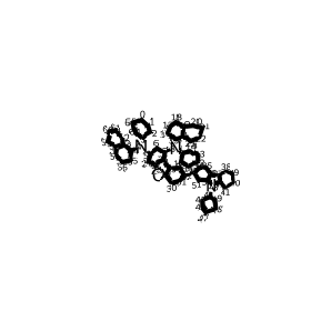 c1ccc(N(c2cc(N(c3ccccc3)c3cccc4ccccc34)c3c(c2)oc2ccc(-c4ccc5c6ccccc6n(-c6ccccc6)c5c4)cc23)c2cccc3ccccc23)cc1